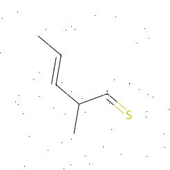 C/C=C/C(C)[C]=S